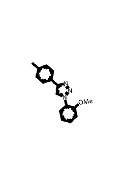 COc1ccccc1-n1cc(-c2ccc(C)cc2)nn1